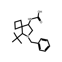 CC(C)(C)C1N(Cc2ccccc2)CC(NC(=O)O)C12CCC2